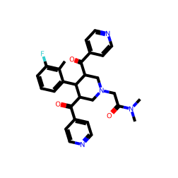 Cc1c(F)cccc1C1C(C(=O)c2ccncc2)CN(CC(=O)N(C)C)CC1C(=O)c1ccncc1